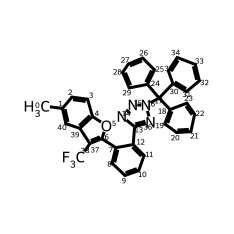 Cc1ccc2oc(-c3ccccc3-c3nnn(C(c4ccccc4)(c4ccccc4)c4ccccc4)n3)c(C(F)(F)F)c2c1